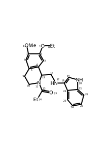 CCOc1cc2c(cc1OC)CCN(C(=O)CC)C2CNc1c[nH]c2ccccc12